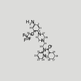 Nc1ccc(N2CCN(CCN(C(=O)C3CCCCC3)c3ccccn3)CC2)c(OCC(F)(F)F)c1